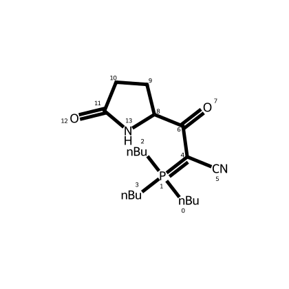 CCCCP(CCCC)(CCCC)=C(C#N)C(=O)C1CCC(=O)N1